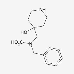 O=C(O)N(Cc1ccccc1)CC1(O)CCNCC1